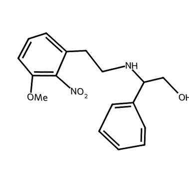 COc1cccc(CCNC(CO)c2ccccc2)c1[N+](=O)[O-]